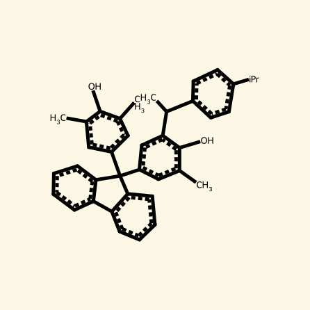 Cc1cc(C2(c3cc(C)c(O)c(C(C)c4ccc(C(C)C)cc4)c3)c3ccccc3-c3ccccc32)cc(C)c1O